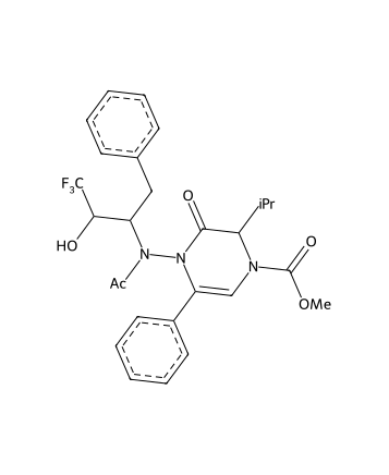 COC(=O)N1C=C(c2ccccc2)N(N(C(C)=O)C(Cc2ccccc2)C(O)C(F)(F)F)C(=O)C1C(C)C